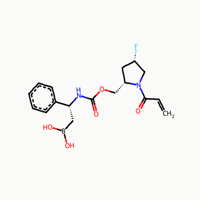 C=CC(=O)N1C[C@@H](F)C[C@H]1COC(=O)N[C@H](CB(O)O)c1ccccc1